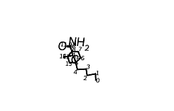 CCCCCC12CCC(C(N)=O)(CC1)C(C)C2